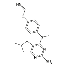 CC1Cc2nc(N)nc(N(C)c3ccc(OC=N)cc3)c2C1